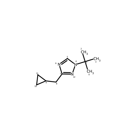 CC(C)(C)n1cnc(CC2CC2)n1